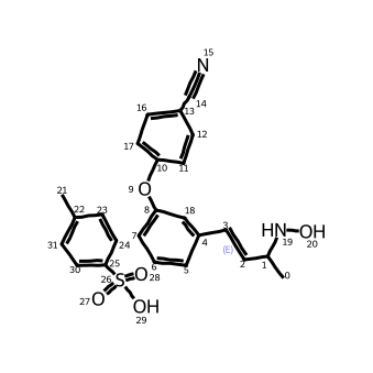 CC(/C=C/c1cccc(Oc2ccc(C#N)cc2)c1)NO.Cc1ccc(S(=O)(=O)O)cc1